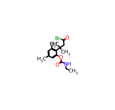 CCNC(=O)Oc1cc(C)cc(C)c1C(C)(C)CC(=O)Br